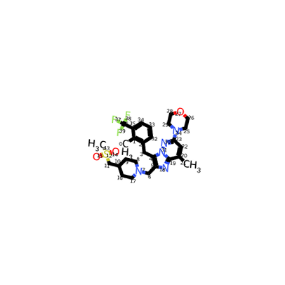 Cc1c(Cc2c(CN3CCC(CS(C)(=O)=O)CC3)nc3c(C)cc(N4CCOCC4)nn23)cccc1C(F)(F)F